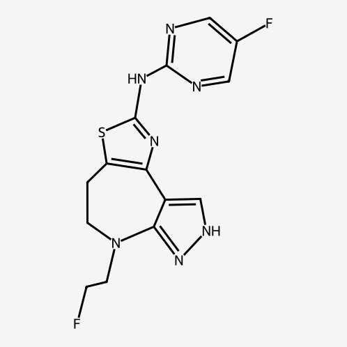 FCCN1CCc2sc(Nc3ncc(F)cn3)nc2-c2c[nH]nc21